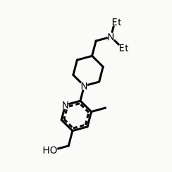 CCN(CC)CC1CCN(c2ncc(CO)cc2C)CC1